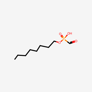 CCCCCCCCOP(=O)(O)C=O